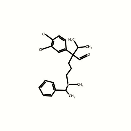 CC(c1ccccc1)N(C)CCCC(C=O)(c1ccc(Cl)c(Cl)c1)C(C)C